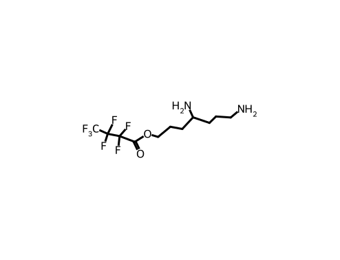 NCCCC(N)CCCOC(=O)C(F)(F)C(F)(F)C(F)(F)F